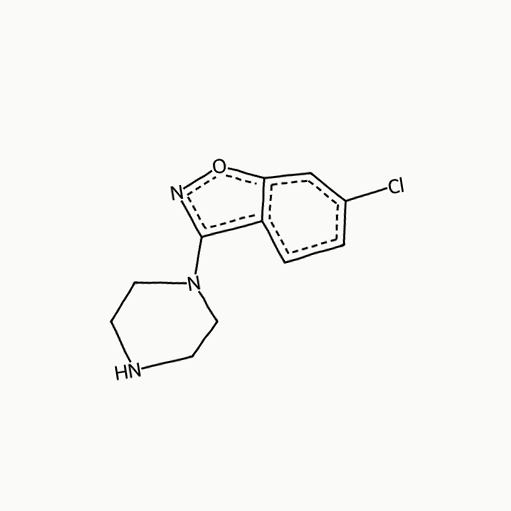 Clc1ccc2c(N3CCNCC3)noc2c1